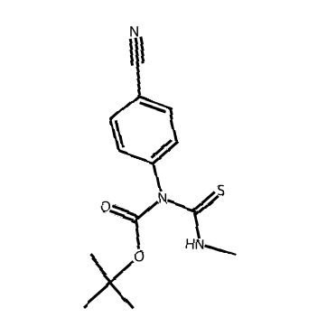 CNC(=S)N(C(=O)OC(C)(C)C)c1ccc(C#N)cc1